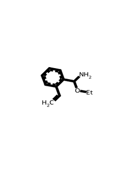 C=Cc1ccccc1C(N)OCC